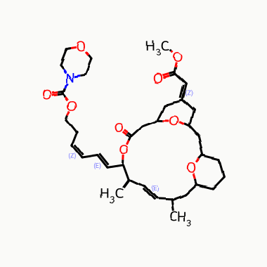 COC(=O)/C=C1\CC2CC(=O)OC(/C=C/C=C\CCOC(=O)N3CCOCC3)C(C)/C=C/C(C)CC3CCCC(CC(C1)O2)O3